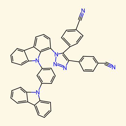 N#Cc1ccc(-c2nnn(-c3cccc4c5ccccc5n(-c5cccc(-n6c7ccccc7c7ccccc76)c5)c34)c2-c2ccc(C#N)cc2)cc1